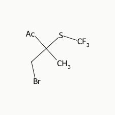 CC(=O)C(C)(CBr)SC(F)(F)F